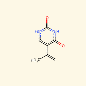 C=C(C(=O)O)c1c[nH]c(=O)[nH]c1=O